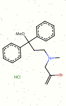 C=C(Br)CN(C)CCC(OC)(c1ccccc1)c1ccccc1.Cl